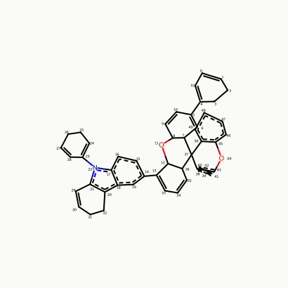 C1=CCCC(C2=CC3C(C=C2)OC2C(c4ccc5c(c4)c4c(n5C5=CCCC=C5)C=CCC4)=CC=CC2C32c3ccccc3Oc3ccccc32)=C1